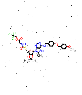 COc1ccc(COc2ccc(CNc3ncnc4c3NC(C)N4[C@@H]3O[C@H](CSC(=O)NCC(=O)OCC(Cl)(Cl)Cl)C4OC(C)(C)OC43)cc2)cc1